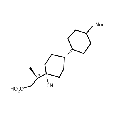 CCCCCCCCCC1CCC([C@H]2CC[C@](C#N)([C@H](C)CC(=O)O)CC2)CC1